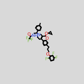 Cc1ccc(C(CNC(=O)C(F)(F)F)N2CCC(c3ccc(CCCOc4c(F)ccc(F)c4F)cc3)=C(C(=O)OC3CC3)C2)cc1